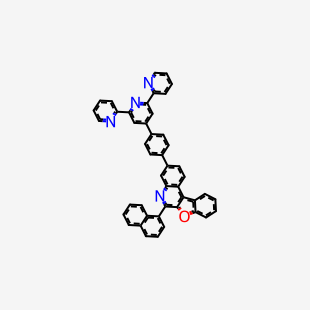 c1ccc(-c2cc(-c3ccc(-c4ccc5c(c4)nc(-c4cccc6ccccc46)c4oc6ccccc6c45)cc3)cc(-c3ccccn3)n2)nc1